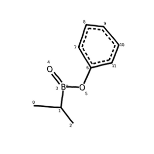 CC(C)[B-](=O)Oc1ccccc1